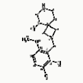 [2H]C1CNCCC12CN(Cc1c(OC)ccc(Cl)c1Cl)C2